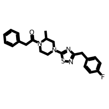 CC1CN(c2nc(Cc3ccc(F)cc3)ns2)CCN1C(=O)Cc1ccccc1